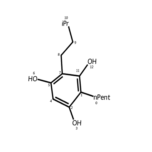 CCCCCc1c(O)cc(O)c(CCC(C)C)c1O